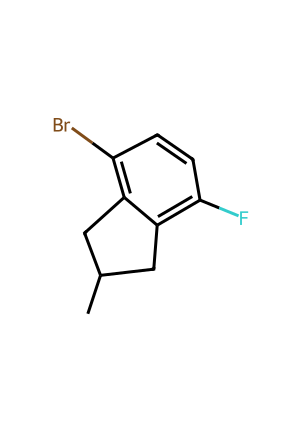 CC1Cc2c(F)ccc(Br)c2C1